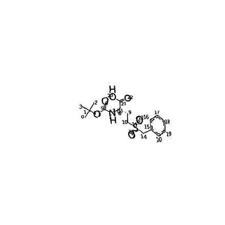 CC(C)(C)OC(=O)N[C@@H](CCS(=O)(=O)Cc1ccccc1)C(=O)O